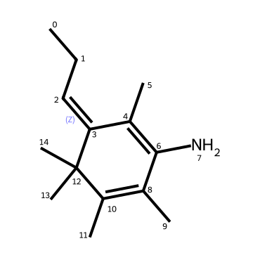 CC/C=C1\C(C)=C(N)C(C)=C(C)C1(C)C